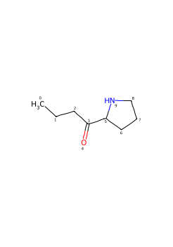 CCCC(=O)[C]1CCCN1